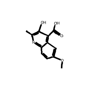 COc1ccc2nc(C)c(O)c(C(=O)O)c2c1